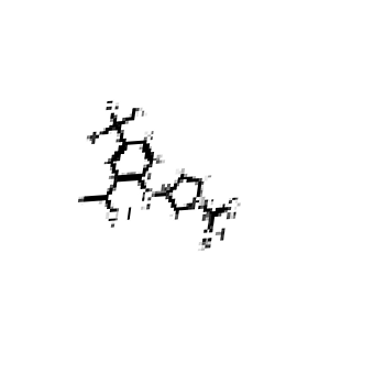 CC(O)c1cc(C(F)(F)F)ccc1OC1CCN(C(=O)O)C1